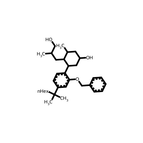 CCCCCCC(C)(C)c1ccc(C2CC(O)CC(C)C2CC(C)CO)c(OCc2ccccc2)c1